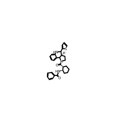 O=C(N[C@@H]1CCCC[C@@H]1C(=O)N1CC[C@@H]2C(c3cccs3)Nc3ccccc3C21)c1ccccc1